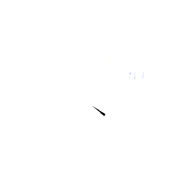 C=CC[C@H](C)C(SN)C1CCC1